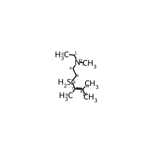 CCN(C)CC[SiH2]C(C)=C(C)C